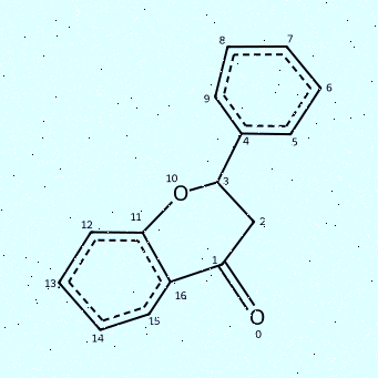 O=C1CC(c2ccccc2)Oc2c[c]ccc21